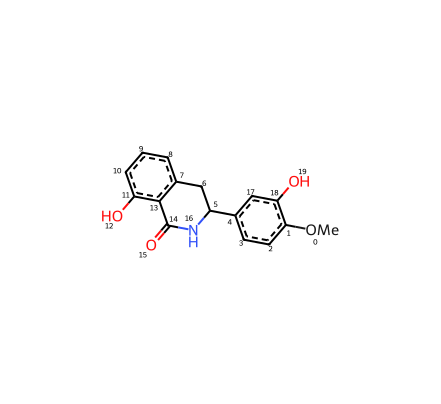 COc1ccc(C2Cc3cccc(O)c3C(=O)N2)cc1O